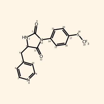 O=C1NC(Cc2ccncc2)C(=O)N1c1ccc(SC(F)(F)F)cc1